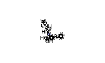 CC(C)(C)OC(=O)NCC(=O)N/N=C/c1cc(OCc2ccccc2)ccc1B(O)O